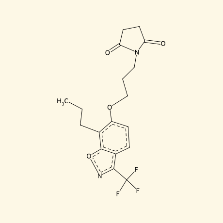 CCCc1c(OCCCN2C(=O)CCC2=O)ccc2c(C(F)(F)F)noc12